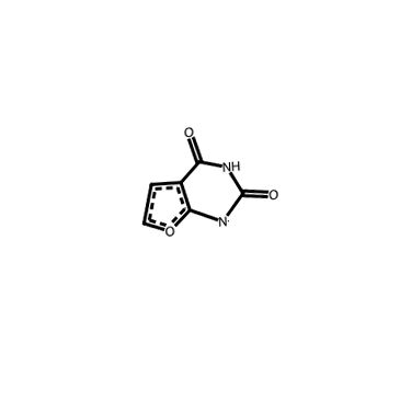 O=C1[N]c2occc2C(=O)N1